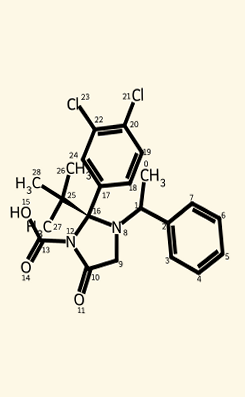 CC(c1ccccc1)N1CC(=O)N(C(=O)O)[C@@]1(c1ccc(Cl)c(Cl)c1)C(C)(C)C